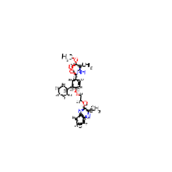 COC(=O)[C@H](C)NC(=O)c1ccc(OCCOc2nc3ccccc3nc2C)c(C2CCCCC2)c1